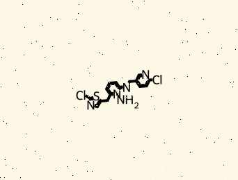 Nn1c(Cc2cnc(Cl)s2)ccc/c1=N\Cc1ccc(Cl)nc1